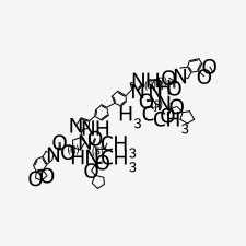 CC(C)[C@H](NC(=O)OC1CCCC1)C(=O)N1C[C@H](OC(=O)N2Cc3ccc4c(c3C2)OCO4)CC1c1ncc(-c2ccc(-c3ccc(-c4c[nH]c([C@@H]5C[C@@H](OC(=O)N6Cc7ccc8c(c7C6)OCO8)CN5C(=O)[C@@H](NC(=O)OC5CCCC5)C(C)C)n4)cc3)cc2)[nH]1